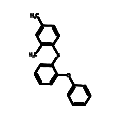 Cc1ccc(Sc2ccccc2Oc2ccccc2)c(C)c1